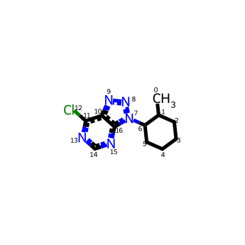 CC1CCCCC1n1nnc2c(Cl)ncnc21